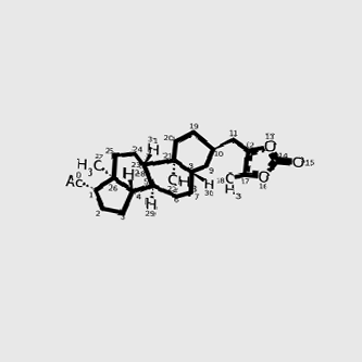 CC(=O)[C@H]1CC[C@H]2[C@@H]3CC[C@H]4C[C@H]([CH]c5oc(=O)oc5C)CC[C@]4(C)[C@H]3CC[C@]12C